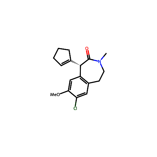 COc1cc2c(cc1Cl)CCN(C)C(=O)[C@H]2C1=CCCC1